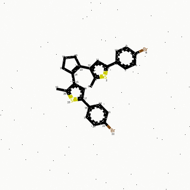 Cc1sc(-c2ccc(Br)cc2)cc1C1=C(c2cc(-c3ccc(Br)cc3)sc2C)CCC1